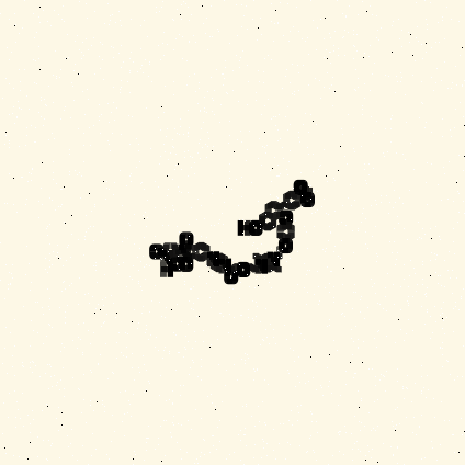 CC1CN(CCOCC(=O)N2CCN(c3ccc4c(c3)C(=O)N(C3CCC(=O)NC3=O)C4=O)CC2)[C@@H](C)CN1CCOc1ccc(Oc2c(-c3ccc(S(C)(=O)=O)cc3)ccc3cc(O)ccc23)cc1